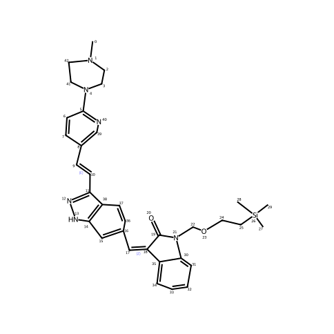 CN1CCN(c2ccc(/C=C/c3n[nH]c4cc(/C=C5\C(=O)N(COCC[Si](C)(C)C)c6ccccc65)ccc34)cn2)CC1